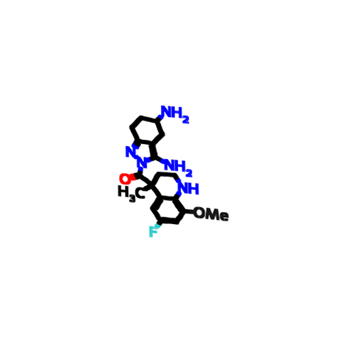 COc1cc(F)cc2c1NCCC2(C)C(=O)n1nc2c(c1N)CC(N)CC2